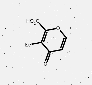 CCc1c(C(=O)O)occc1=O